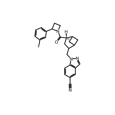 N#Cc1ccc2c(cnn2CC2C[C@H](C(=O)N3CCC3c3cccc(F)c3)C3CC2C3)c1